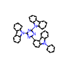 c1ccc(-n2c3ccccc3c3c(-c4nc(-n5c6ccccc6c6ccccc65)nc(-n5c6ccccc6c6ccccc65)n4)cccc32)cc1